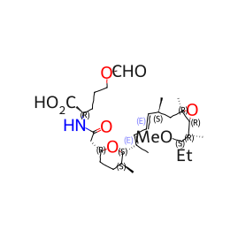 CC[C@H](OC)[C@@H](C)[C@H]1O[C@]1(C)C[C@H](C)/C=C/C=C(\C)[C@H]1O[C@@H](CC(=O)N[C@H](CCCOC=O)C(=O)O)CC[C@@H]1C